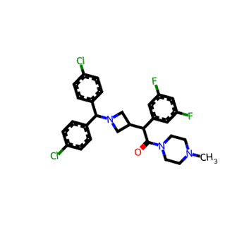 CN1CCN(C(=O)C(c2cc(F)cc(F)c2)C2CN(C(c3ccc(Cl)cc3)c3ccc(Cl)cc3)C2)CC1